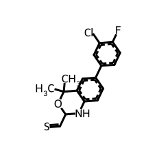 CC1(C)OC(C=S)Nc2ccc(-c3ccc(F)c(Cl)c3)cc21